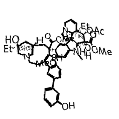 CC[C@]1(O)C[C@H]2CN(CCC3=C(Bc4ccc(-c5cccc(O)c5)cc43)[C@@](C(=O)OC)(C3C=C4C(=CC3OC)N(C)[C@H]3[C@@](O)(C(=O)OC)[C@H](OC(C)=O)[C@]5(CC)C=CCN6CC[C@]43[C@@H]65)C2)C1